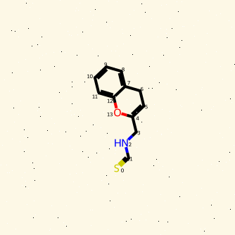 S=[C]NCC1=CCc2ccccc2O1